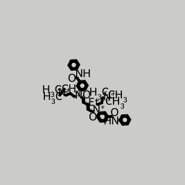 CCC(/C=C1\Oc2ccc(C(=O)Nc3ccccc3)cc2N1CCC[N+](C)(C)C)=C\c1oc2ccc(C(=O)Nc3ccccc3)cc2[n+]1CCC[N+](C)(C)C